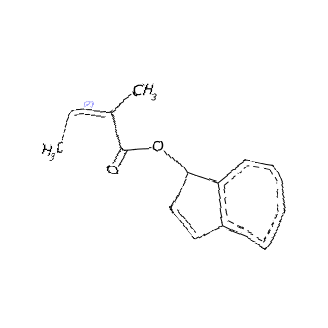 C/C=C(/C)C(=O)OC1C=Cc2ccccc21